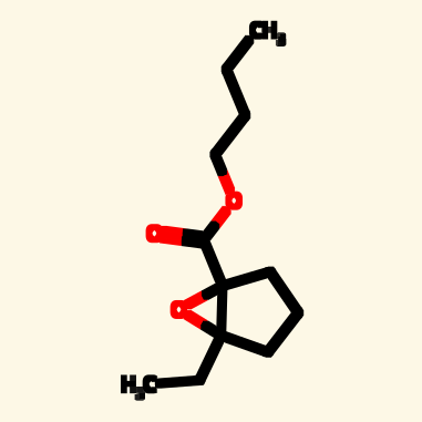 CCCCOC(=O)C12CCCC1(CC)O2